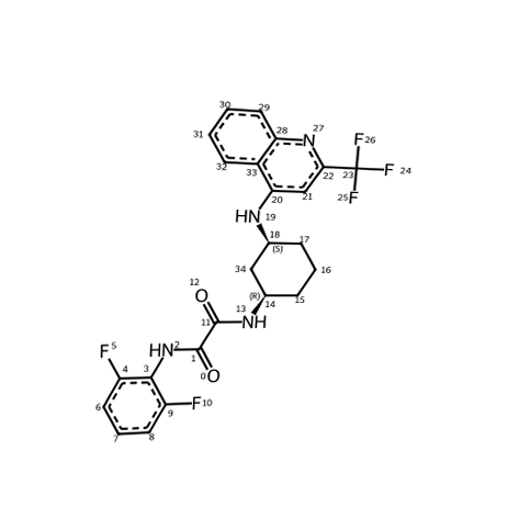 O=C(Nc1c(F)cccc1F)C(=O)N[C@@H]1CCC[C@H](Nc2cc(C(F)(F)F)nc3ccccc23)C1